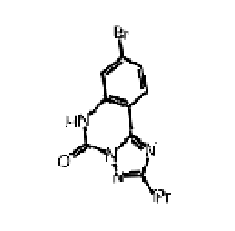 CC(C)c1nc2c3ccc(Br)cc3[nH]c(=O)n2n1